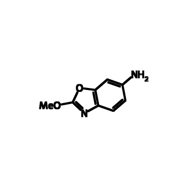 COc1nc2ccc(N)cc2o1